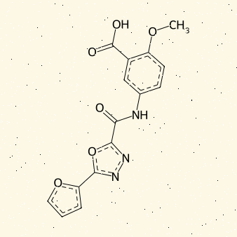 COc1ccc(NC(=O)c2nnc(-c3ccco3)o2)cc1C(=O)O